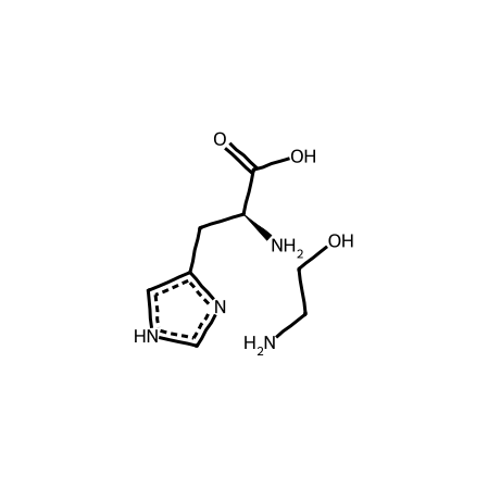 NCCO.N[C@@H](Cc1c[nH]cn1)C(=O)O